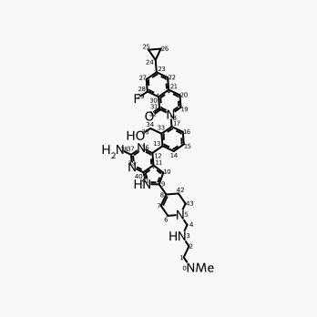 CNCCNCN1CC=C(c2cc3c(-c4cccc(-n5ccc6cc(C7CC7)cc(F)c6c5=O)c4CO)nc(N)nc3[nH]2)CC1